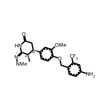 CN/N=C1/NC(=O)C[C@@H](c2ccc(OCc3ccc(N)cc3C(F)(F)F)c(OC)c2)[C@H]1C